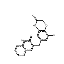 O=C1COc2c(F)cc(Cc3cc4ccccc4[nH]c3=O)cc2N1